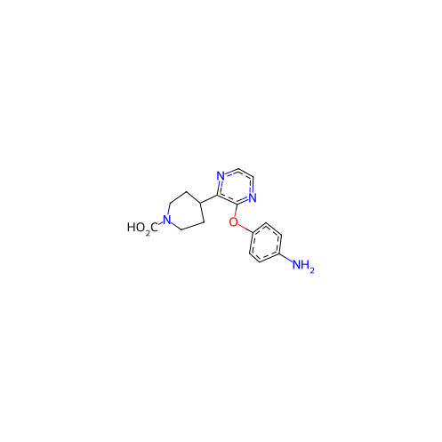 Nc1ccc(Oc2nccnc2C2CCN(C(=O)O)CC2)cc1